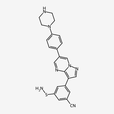 N#Cc1cc(SN)cc(-c2cnn3cc(-c4ccc(N5CCNCC5)cc4)cnc23)c1